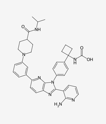 CC(C)NC(=O)C1CCN(c2cccc(-c3ccc4nc(-c5cccnc5N)n(-c5ccc(C6(NC(=O)O)CCC6)cc5)c4n3)c2)CC1